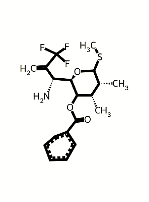 C=C([C@@H](N)[C@H]1OC(SC)[C@H](C)[C@H](C)C1OC(=O)c1ccccc1)C(F)(F)F